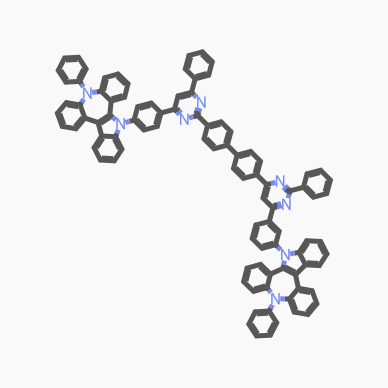 c1ccc(-c2cc(-c3ccc(-n4c5c(c6ccccc64)-c4ccccc4N(c4ccccc4)c4ccccc4-5)cc3)nc(-c3ccc(-c4ccc(-c5cc(-c6cccc(-n7c8c(c9ccccc97)-c7ccccc7N(c7ccccc7)c7ccccc7-8)c6)nc(-c6ccccc6)n5)cc4)cc3)n2)cc1